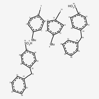 CC(C)(C)c1ccc(I)cc1.CC(C)(C)c1ccc(I)cc1.O=S(=O)(O)c1ccc(Cc2ccccc2)cc1.O=S(=O)(O)c1ccc(Cc2ccccc2)cc1